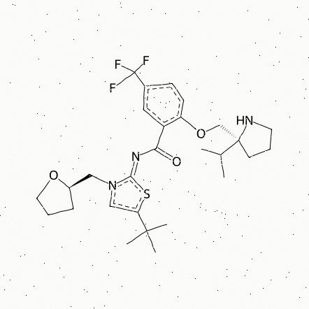 CC(C)[C@]1(COc2ccc(C(F)(F)F)cc2C(=O)/N=c2\sc(C(C)(C)C)cn2C[C@H]2CCCO2)CCCN1